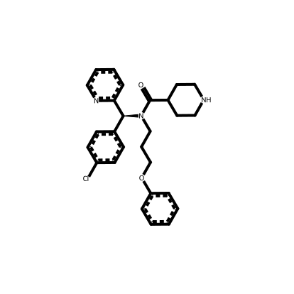 O=C(C1CCNCC1)N(CCCOc1ccccc1)[C@@H](c1ccc(Cl)cc1)c1ccccn1